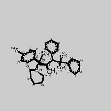 CC(C(c1ccccc1)C(O)(O)c1ccccc1)C(O)(c1ccc(F)cc1)N1CCCCC1